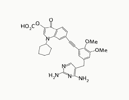 COc1cc(Cc2cnc(N)nc2N)cc(C#Cc2ccc3c(=O)c(OC(=O)O)cn(C4CCCCC4)c3c2)c1OC